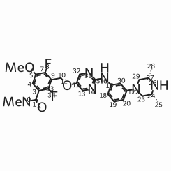 CNC(=O)c1cc(OC)c(F)c(COc2cnc(Nc3cccc(N4C[C@@H](C)N[C@@H](C)C4)c3)nc2)c1F